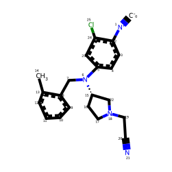 [C-]#[N+]c1ccc(N(Cc2ccccc2C)[C@H]2CCN(CC#N)C2)cc1Cl